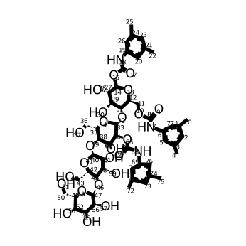 Cc1cc(C)cc(NC(=O)OC[C@@H]2OC(OC(=O)Nc3cc(C)cc(C)c3)[C@@H](O)[C@H](O)[C@H]2O[C@@H]2O[C@@H](CO)[C@H](O[C@H]3O[C@@H](CO)[C@H](O[C@H]4O[C@@H](CO)[C@H](O)[C@@H](O)[C@@H]4O)[C@@H](O)[C@@H]3O)[C@@H](O)[C@@H]2OC(=O)Nc2cc(C)cc(C)c2)c1